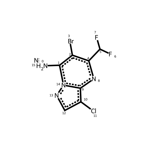 Nc1c(Br)c(C(F)F)nc2c(Cl)cnn12.[N]